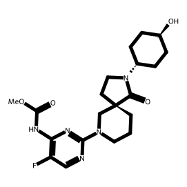 COC(=O)Nc1nc(N2CCC[C@]3(CCN([C@H]4CC[C@H](O)CC4)C3=O)C2)ncc1F